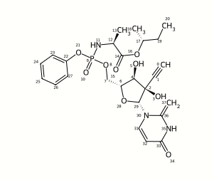 C#C[C@@]1(O)[C@H](O)[C@@H](COP(=O)(N[C@@H](C)C(=O)O[C@H](C)CC)Oc2ccccc2)O[C@H]1N1C=CC(=O)NC1=C